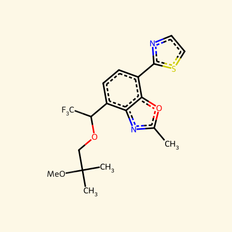 COC(C)(C)COC(c1ccc(-c2nccs2)c2oc(C)nc12)C(F)(F)F